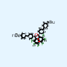 CCCC[C@H]1CC[C@H]([C@H]2CC[C@H](C(OC(c3ccc(F)c(F)c3F)[C@H]3CC[C@H]([C@H]4CC[C@H](CCCC)CC4)CC3)c3ccc(F)c(F)c3F)CC2)CC1